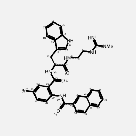 CNC(=N)NCCNC(=O)[C@H](Cc1c[nH]c2ccccc12)NC(=O)c1cc(Br)ccc1NC(=O)c1ccc2ccccc2c1